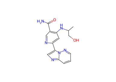 CC(CO)Nc1cc(-c2cnc3cccnn23)ncc1C(N)=O